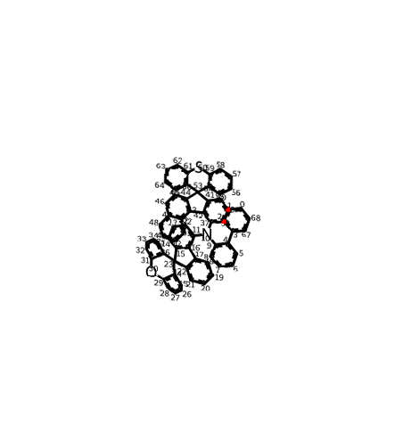 c1ccc(-c2ccccc2N(c2cccc3c2-c2ccccc2C32c3ccccc3Oc3ccccc32)c2cccc3c2-c2c(ccc4ccccc24)C32c3ccccc3Sc3ccccc32)cc1